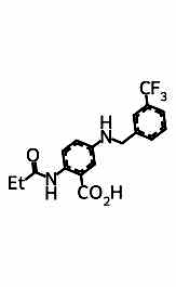 CCC(=O)Nc1ccc(NCc2cccc(C(F)(F)F)c2)cc1C(=O)O